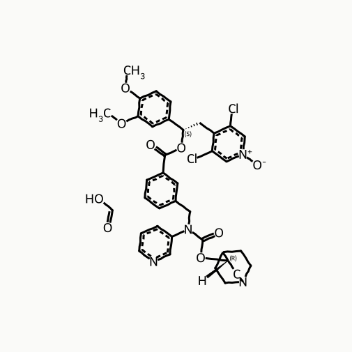 COc1ccc([C@H](Cc2c(Cl)c[n+]([O-])cc2Cl)OC(=O)c2cccc(CN(C(=O)O[C@H]3CN4CCC3CC4)c3cccnc3)c2)cc1OC.O=CO